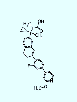 COc1cc(-c2ccc(C3=Cc4cc([C@](C)(C5CC5)[C@H](C)C(=O)O)ccc4CC3)c(F)c2)ccn1